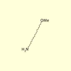 COCCCCCCCCCCCCCCCCCCCCCCCN